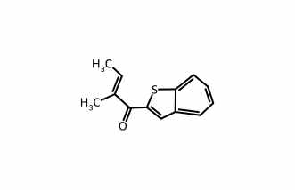 CC=C(C)C(=O)c1cc2ccccc2s1